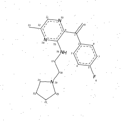 C=C(c1ccc(F)cc1)c1ncc(C)nc1NCCN1CCCC1